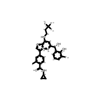 Cc1cc(-c2cnc3c(NCCC(F)(F)F)cc([C@H](O)c4cccc(F)c4O)nn23)ccc1C(=O)NC1CC1